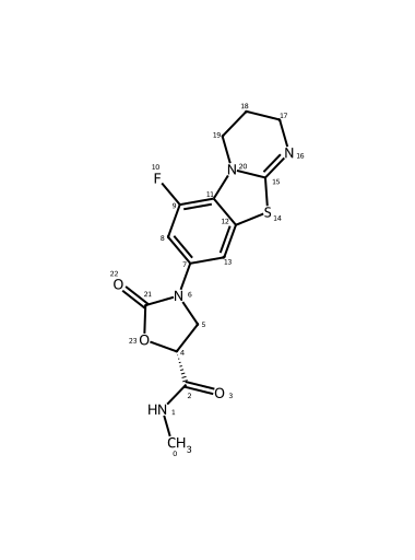 CNC(=O)[C@H]1CN(c2cc(F)c3c(c2)SC2=NCCCN23)C(=O)O1